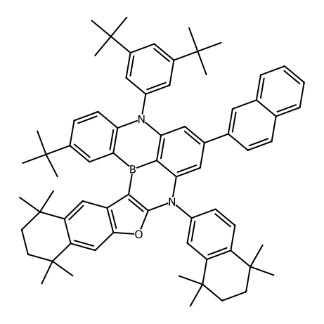 CC(C)(C)c1cc(N2c3ccc(C(C)(C)C)cc3B3c4c2cc(-c2ccc5ccccc5c2)cc4N(c2ccc4c(c2)C(C)(C)CCC4(C)C)c2oc4cc5c(cc4c23)C(C)(C)CCC5(C)C)cc(C(C)(C)C)c1